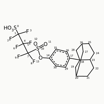 O=S(=O)(O)C(F)(F)C(F)(F)C(F)(F)S(=O)(=O)Oc1ccc(C23CC4CCC2CCC(C4)C3)cc1